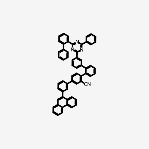 N#Cc1cc(-c2cccc(-c3cc4ccccc4c4ccccc34)c2)ccc1-c1ccccc1-c1cccc(-c2nc(-c3ccccc3)nc(-c3ccccc3-c3ccccc3)n2)c1